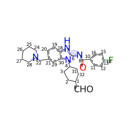 O=CC1CCC(n2/c(=N\C(=O)c3ccc(F)cc3)[nH]c3ccc(CN4CCCCC4)cc32)CC1